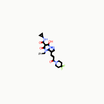 CC(C)Cn1c(=O)c(C(=O)NC2CC2)c(O)n2ncc(C=CC(=O)N3CCC(F)(F)CC3)c12